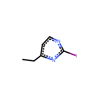 CCc1ccnc(I)n1